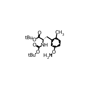 Cc1ccc(ON)cc1C[C@H](NC(=O)OC(C)(C)C)C(=O)OC(C)(C)C